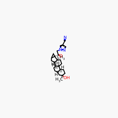 C[C@@]1(O)CC[C@H]2[C@H](CC[C@@H]3[C@@H]2CC[C@@]2(C)[C@H]3CC3C[C@]32C(=O)Cn2cc(C#N)cn2)C1